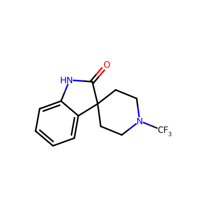 O=C1Nc2ccccc2C12CCN(C(F)(F)F)CC2